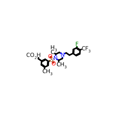 Cc1cc(CC(=O)O)cc(S(=O)(=O)N2C(C)CN(CCc3ccc(C(F)(F)F)c(F)c3)CC2C)c1